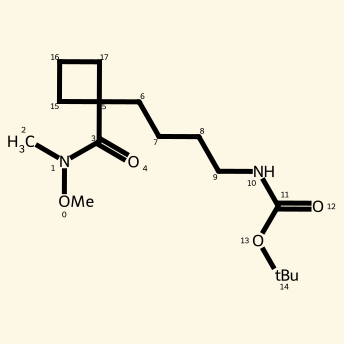 CON(C)C(=O)C1(CCCCNC(=O)OC(C)(C)C)CCC1